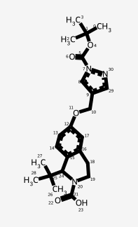 CC(C)(C)OC(=O)n1cc(COc2ccc3c(c2)CCN(C(=O)O)C3C(C)(C)C)cn1